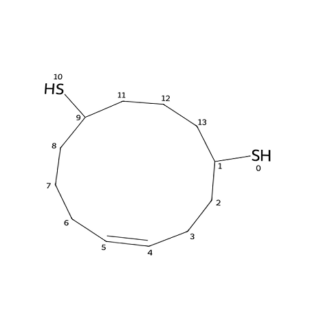 SC1CCC=CCCCC(S)CCC1